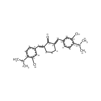 CN(C)c1ccc(/C=C2\CCC/C(=C\c3ccc(N(C)C)c(Cl)c3)C2=O)cc1Cl